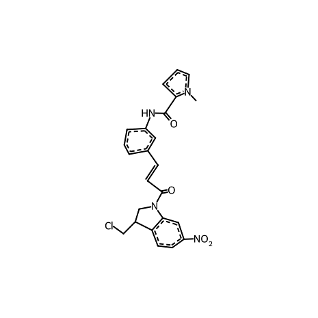 Cn1cccc1C(=O)Nc1cccc(C=CC(=O)N2CC(CCl)c3ccc([N+](=O)[O-])cc32)c1